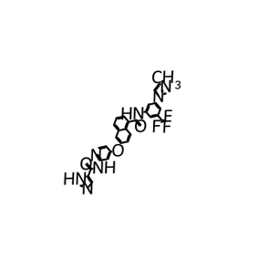 Cc1cn(-c2cc(NC(=O)c3cccc4cc(Oc5ccnc(NC(=O)c6cnc[nH]6)c5)ccc34)cc(C(F)(F)F)c2)cn1